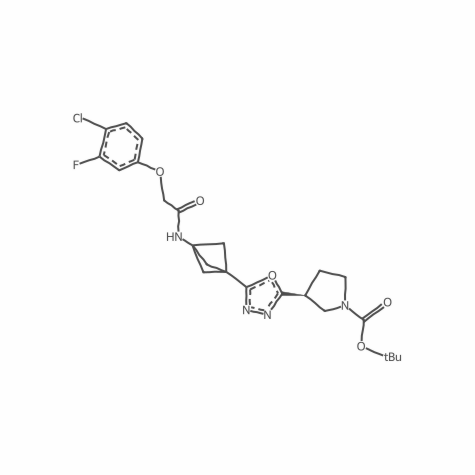 CC(C)(C)OC(=O)N1CC[C@H](c2nnc(C34CC(NC(=O)COc5ccc(Cl)c(F)c5)(C3)C4)o2)C1